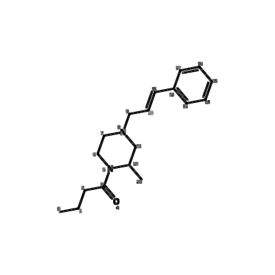 CCCC(=O)N1CCN(C/C=C/c2ccccc2)CC1C